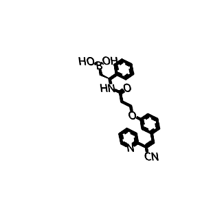 N#CC(=Cc1cccc(OCCC(=O)N[C@@H](CB(O)O)c2ccccc2)c1)c1ccccn1